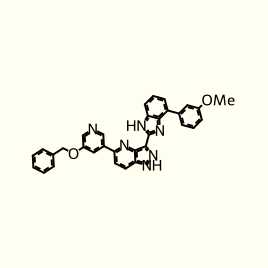 COc1cccc(-c2cccc3[nH]c(-c4n[nH]c5ccc(-c6cncc(OCc7ccccc7)c6)nc45)nc23)c1